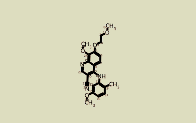 COCCOc1ccc2c(Nc3cc(OC)ccc3C)c(C#N)cnc2c1OC